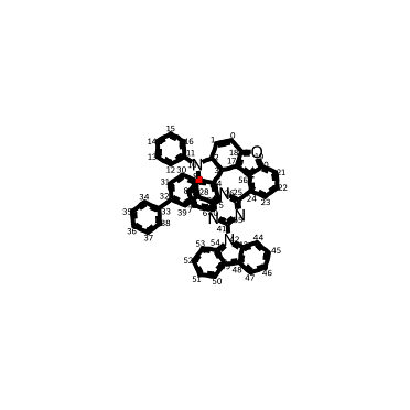 C1=CC2C(c3ccccc3N2c2ccccc2)c2c1oc1cccc(-c3nc(-c4cccc(-c5ccccc5)c4)nc(-n4c5ccccc5c5ccccc54)n3)c21